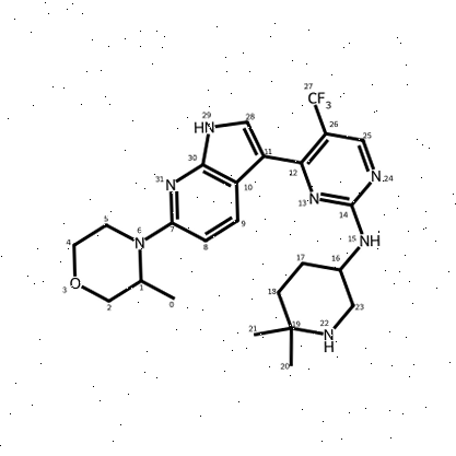 CC1COCCN1c1ccc2c(-c3nc(NC4CCC(C)(C)NC4)ncc3C(F)(F)F)c[nH]c2n1